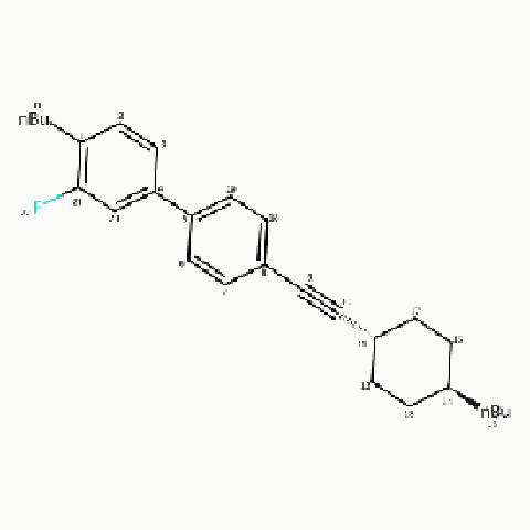 CCCCc1ccc(-c2ccc(C#C[C@H]3CC[C@H](CCCC)CC3)cc2)cc1F